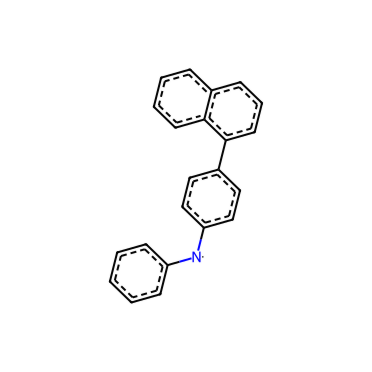 c1ccc([N]c2ccc(-c3cccc4ccccc34)cc2)cc1